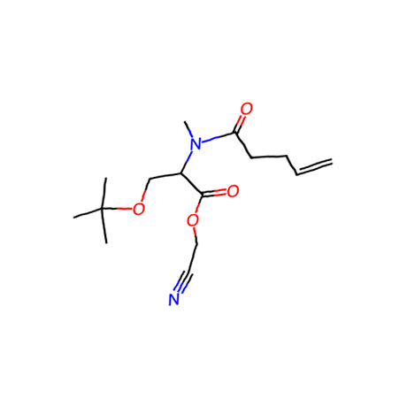 C=CCCC(=O)N(C)C(COC(C)(C)C)C(=O)OCC#N